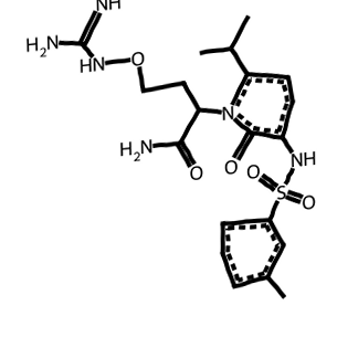 Cc1cccc(S(=O)(=O)Nc2ccc(C(C)C)n(C(CCONC(=N)N)C(N)=O)c2=O)c1